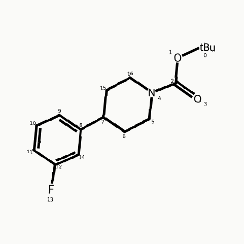 CC(C)(C)OC(=O)N1CCC(c2cccc(F)c2)CC1